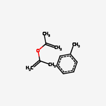 C=C(C)OC(=C)C.Cc1ccccc1